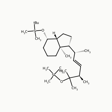 C[C@H](/C=C/[C@@H](C)C(C)(C)O[Si](C)(C)C)[C@H]1CC[C@H]2[C@@H](O[Si](C)(C)C(C)(C)C)CCC[C@]12C